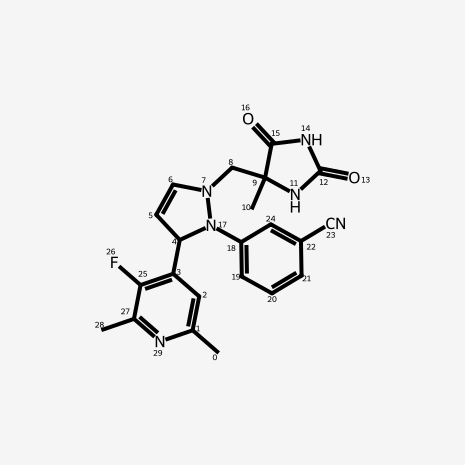 Cc1cc(C2C=CN(CC3(C)NC(=O)NC3=O)N2c2cccc(C#N)c2)c(F)c(C)n1